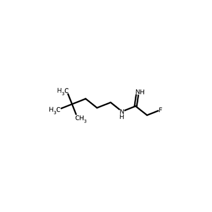 CC(C)(C)CCCNC(=N)CF